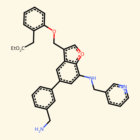 CCOC(=O)Cc1ccccc1OCc1coc2c(NCc3cccnc3)cc(-c3cccc(CN)c3)cc12